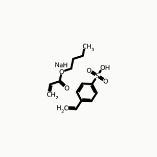 C=CC(=O)OCCCC.C=Cc1ccc(S(=O)(=O)O)cc1.[NaH]